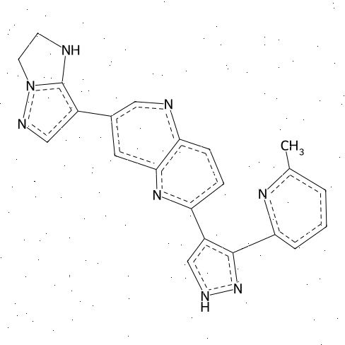 Cc1cccc(-c2n[nH]cc2-c2ccc3ncc(-c4cnn5c4NCC5)cc3n2)n1